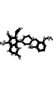 COc1cccc(O)c1CN1CCN(c2c(C#N)c(=O)n(C)c3ccc(Br)nc23)CC1